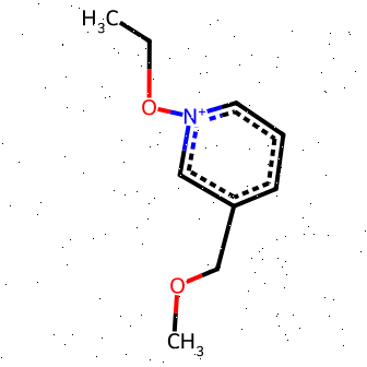 CCO[n+]1cccc(COC)c1